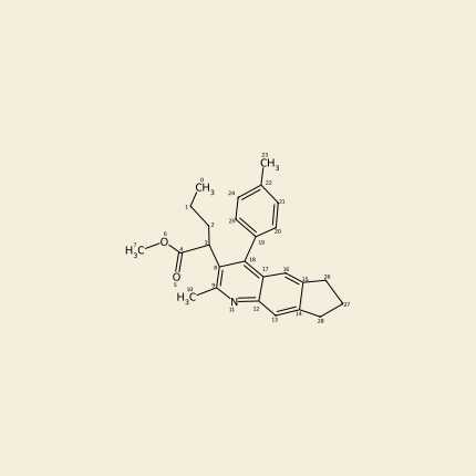 CCCC(C(=O)OC)c1c(C)nc2cc3c(cc2c1-c1ccc(C)cc1)CCC3